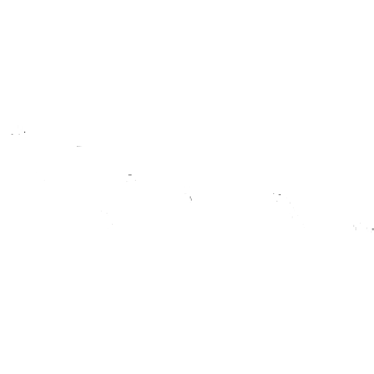 CC1(C[18F])C=Cc2cc(SCc3ccc(C(C)(C)C)cc3)ccc2O1